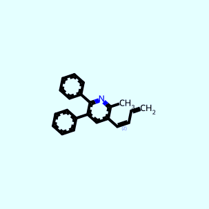 C=C/C=C\c1cc(-c2ccccc2)c(-c2ccccc2)nc1C